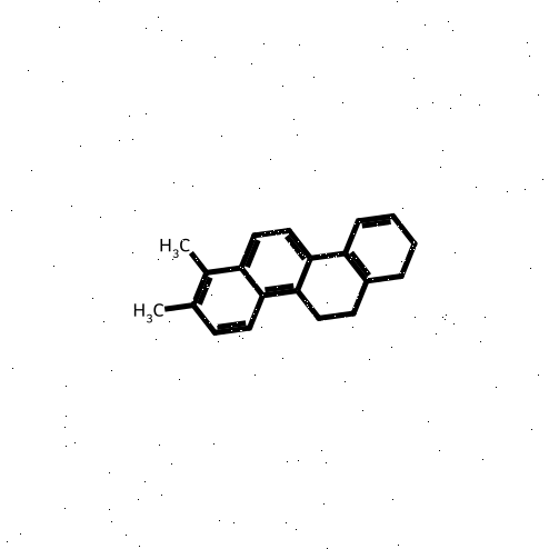 Cc1ccc2c3c(ccc2c1C)C1=C(CCC=C1)CC3